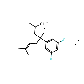 CC(C)=CCC(C)(CC(C)C=O)c1cc(F)cc(F)c1